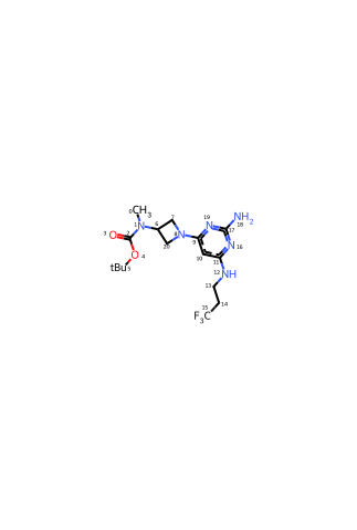 CN(C(=O)OC(C)(C)C)C1CN(c2cc(NCCC(F)(F)F)nc(N)n2)C1